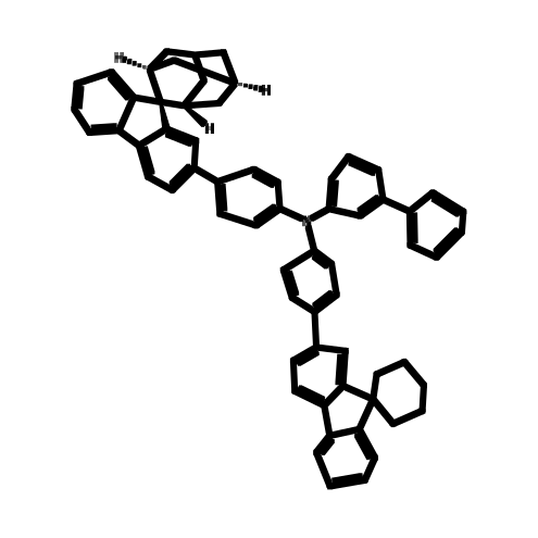 c1ccc(-c2cccc(N(c3ccc(-c4ccc5c(c4)C4(CCCCC4)c4ccccc4-5)cc3)c3ccc(-c4ccc5c(c4)[C@]4(c6ccccc6-5)[C@@H]5CC6C[C@@H](C5)C[C@@H]4C6)cc3)c2)cc1